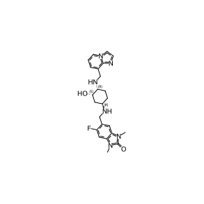 Cn1c(=O)n(C)c2cc(CN[C@@H]3CC[C@@H](NCc4cccn5ccnc45)[C@@H](O)C3)c(F)cc21